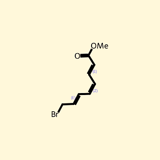 COC(=O)/C=C/C=C\C=C\CBr